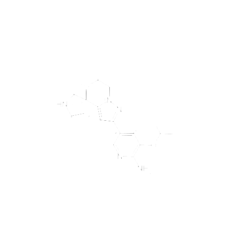 Nc1ncc(-c2cc3n(n2)CCO[C@@]32CCNC2)cc1OC(F)F